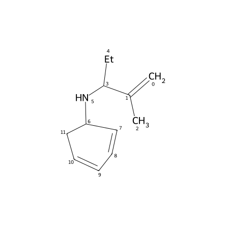 C=C(C)C(CC)NC1C=CC=CC1